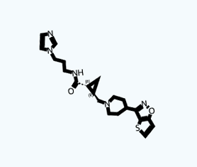 O=C(NCCCn1ccnc1)[C@@H]1C[C@H]1CN1CCC(c2noc3ccsc23)CC1